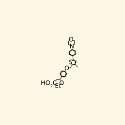 CCOC(CC(=O)O)c1ccc(OCc2sc(-c3ccc(N4CCOCC4)cc3)cc2C)cc1